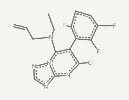 C=CCN(CC)c1c(-c2c(F)ccc(F)c2F)c(Cl)nc2ncnn12